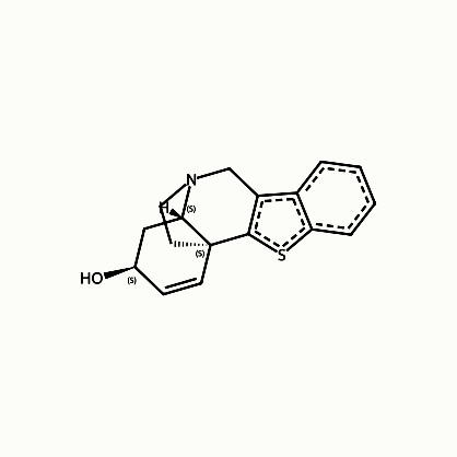 O[C@@H]1C=C[C@]23CCN(Cc4c2sc2ccccc42)[C@H]3C1